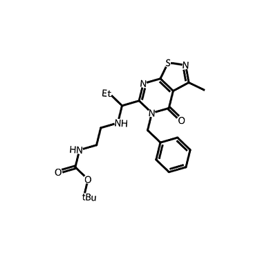 CCC(NCCNC(=O)OC(C)(C)C)c1nc2snc(C)c2c(=O)n1Cc1ccccc1